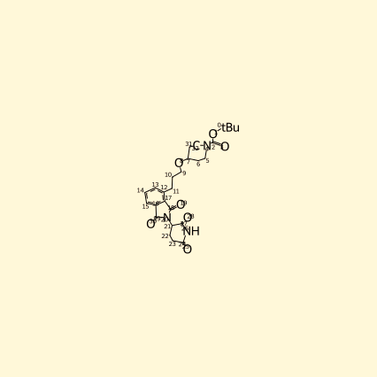 CC(C)(C)OC(=O)N1CCC(OCCCc2cccc3c2C(=O)N(C2CCC(=O)NC2=O)C3=O)CC1